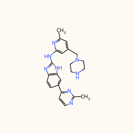 Cc1cc(CN2CCNCC2)cc(Nc2nc3ccc(-c4ccnc(C)n4)cc3[nH]2)n1